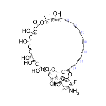 C[C@@H]1[C@H](O)[C@@H](C)/C=C/C=C/C=C/C=C/C=C/C=C/C=C/[C@H](O[C@@H]2O[C@H](C)[C@@H](C)[C@H](N)[C@H]2F)CC2O[C@](O)(CC(O)C[C@@H](O)[C@H](O)CCC(O)C[C@@H](O)CC(=O)O[C@H]1C)C[C@H](O)[C@H]2C(=O)O